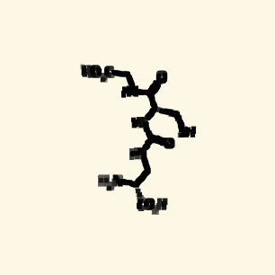 N[C@H](CNC(=O)N[C@H](CS)C(=O)NCC(=O)O)C(=O)O